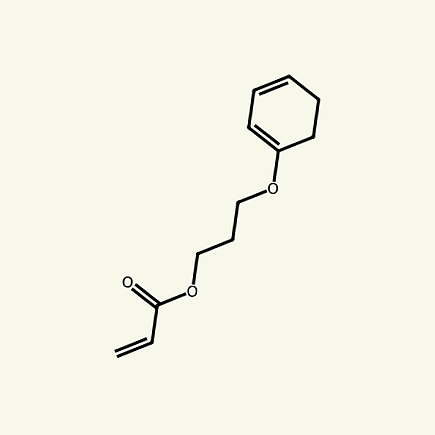 C=CC(=O)OCCCOC1=CC=CCC1